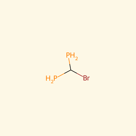 PC(P)Br